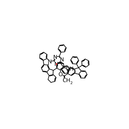 C=C(Oc1c(C)cccc1C1C2=C(CCC=C2)c2ccc3c4ccccc4n(-c4nc(-c5ccccc5)nc(-c5ccccc5)n4)c3c21)c1ccc2c(c1)-c1ccccc1C2(c1ccccc1)c1ccccc1